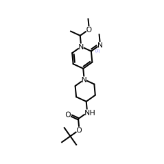 C/N=c1/cc(N2CCC(NC(=O)OC(C)(C)C)CC2)ccn1C(C)OC